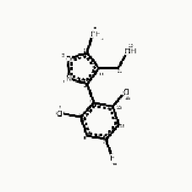 Cc1onc(-c2c(Cl)cc(F)cc2Cl)c1CO